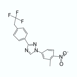 Cc1cc(-n2cnc(-c3ccc(CC(F)(F)F)cc3)n2)ccc1[N+](=O)[O-]